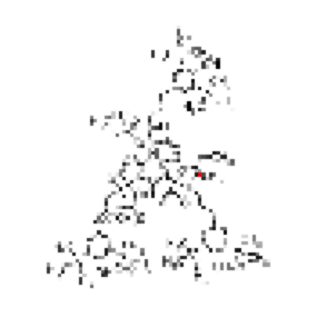 CCC(=S)OC1(n2c(=O)n(C3(OC(=S)CC)C(=O)OC3(CC)CCCc3cc(C(C)(C)C)c(O)c(C(C)(C)C)c3)c(=O)n(C3(OC(=S)CC)C(=O)OC3(CC)CCCc3cc(C(C)(C)C)c(O)c(C(C)(C)C)c3)c2=O)C(=O)OC1(CC)CCCc1cc(C(C)(C)C)c(O)c(C(C)(C)C)c1